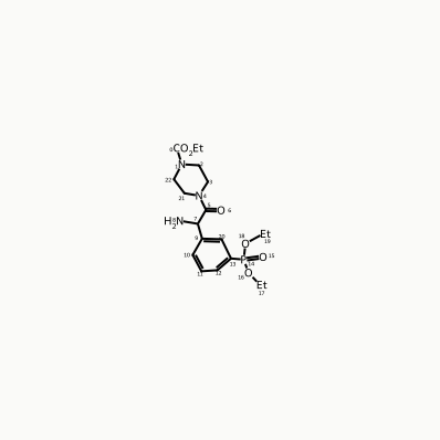 CCOC(=O)N1CCN(C(=O)C(N)c2cccc(P(=O)(OCC)OCC)c2)CC1